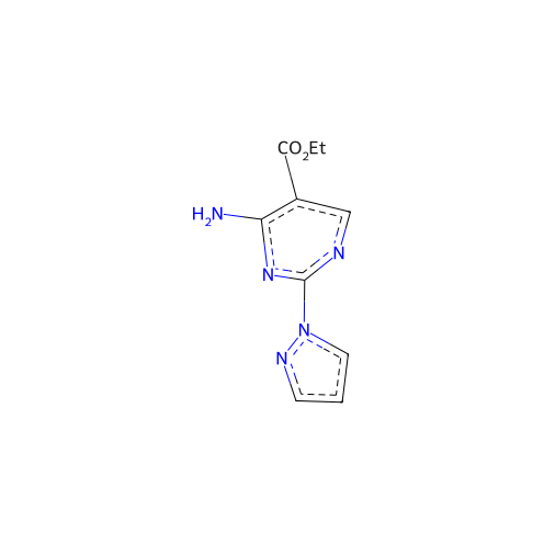 CCOC(=O)c1cnc(-n2cccn2)nc1N